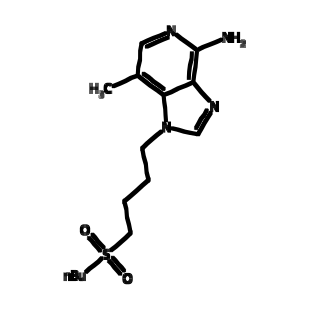 CCCCS(=O)(=O)CCCCn1cnc2c(N)ncc(C)c21